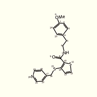 COc1ccc(CCNC(=O)c2sccc2SCc2ccncc2)cc1